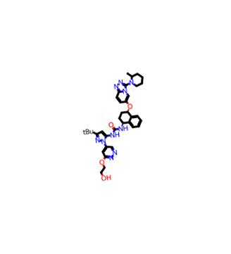 CC1CCCCN1c1nnc2ccc(O[C@@H]3CC[C@H](NC(=O)Nc4cc(C(C)(C)C)nn4-c4cnnc(OCCO)c4)c4ccccc43)cn12